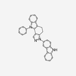 c1ccc(-n2c3c(c4ccccc42)CCc2c-3cnn2-c2ccc3[nH]c4ccccc4c3c2)cc1